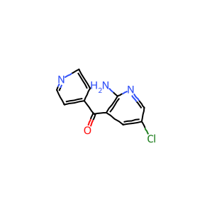 Nc1ncc(Cl)cc1C(=O)c1ccncc1